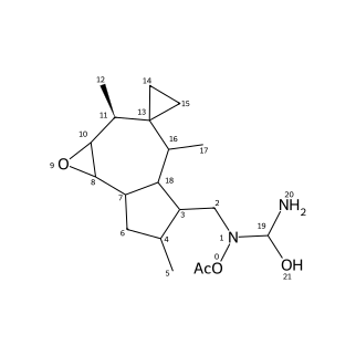 CC(=O)ON(CC1C(C)CC2C3OC3[C@@H](C)C3(CC3)C(C)C12)C(N)O